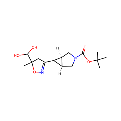 CC(C)(C)OC(=O)N1C[C@@H]2C(C3=NOC(C)(C(O)O)C3)[C@@H]2C1